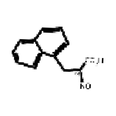 O=N[C@@H](Cc1cccc2ccccc12)C(=O)O